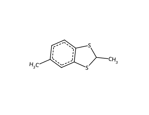 Cc1ccc2c(c1)SC(C)S2